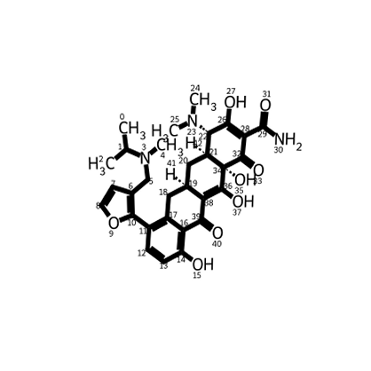 CC(C)N(C)Cc1ccoc1-c1ccc(O)c2c1C[C@H]1C[C@H]3[C@H](N(C)C)C(O)=C(C(N)=O)C(=O)[C@@]3(O)C(O)=C1C2=O